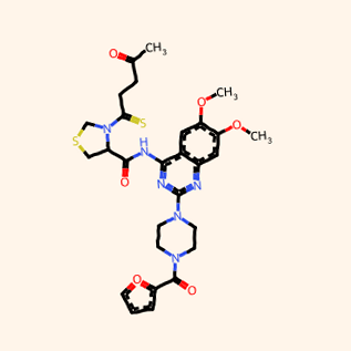 COc1cc2nc(N3CCN(C(=O)c4ccco4)CC3)nc(NC(=O)C3CSCN3C(=S)CCC(C)=O)c2cc1OC